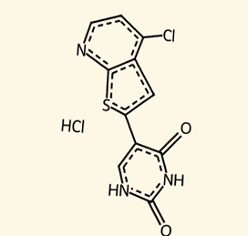 Cl.O=c1[nH]cc(-c2cc3c(Cl)ccnc3s2)c(=O)[nH]1